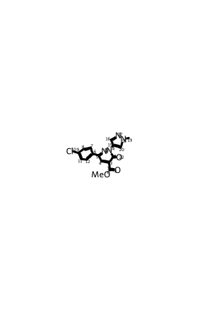 COC(=O)c1cc(-c2ccc(Cl)cc2)nn(-c2cnn(C)c2)c1=O